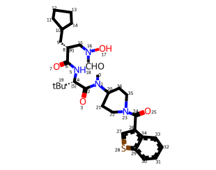 CN(C(=O)[C@@H](NC(=O)[C@H](CC1CCCC1)CN(O)C=O)C(C)(C)C)C1CCN(C(=O)c2csc3ccccc23)CC1